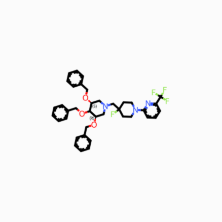 FC1(CN2C[C@H](OCc3ccccc3)C(OCc3ccccc3)[C@H](OCc3ccccc3)C2)CCN(c2cccc(C(F)(F)F)n2)CC1